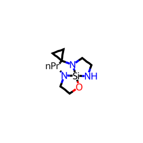 CCCC1(N2CCN[Si]23OCCN3C)CC1